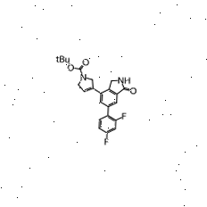 CC(C)(C)OC(=O)N1CC=C(c2cc(-c3ccc(F)cc3F)cc3c2CNC3=O)C1